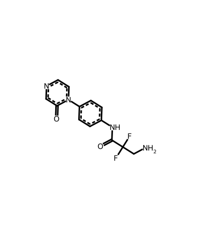 NCC(F)(F)C(=O)Nc1ccc(-n2ccncc2=O)cc1